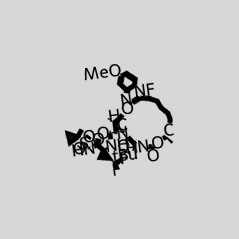 COc1ccc2nc3c(nc2c1)O[C@H]1CN(C(=O)[C@H](C(C)(C)C)NC(=O)O[C@H](C)CCCCCC3F)[C@H](C(=O)N[C@]2(C(=O)NS(=O)(=O)C3(C)CC3)C[C@H]2C(F)F)[C@@H]1C